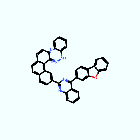 N=C1C=Cc2ccc3ccc(-c4nc(-c5ccc6c(c5)oc5ccccc56)c5ccccc5n4)cc3c2/C1=N/Nc1ccccc1